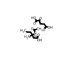 CCCC(N)(CC(=O)O)NC(C)=O.O=C(O)CCC(=O)C(=O)O